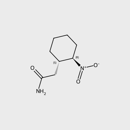 NC(=O)C[C@@H]1CCCC[C@H]1[N+](=O)[O-]